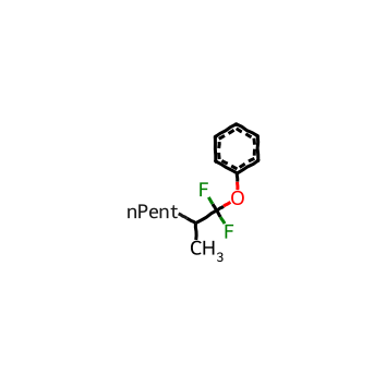 CCCCCC(C)C(F)(F)Oc1ccccc1